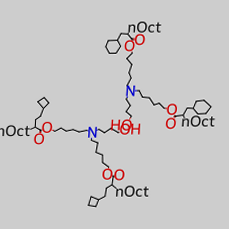 CCCCCCCCC(CC1CCCCC1)C(=O)OCCCCCCN(CCCCO)CCCCCCOC(=O)C(CCCCCCCC)CC1CCCCC1.CCCCCCCCC(CCC1CCC1)C(=O)OCCCCCCN(CCCCO)CCCCCCOC(=O)C(CCCCCCCC)CCC1CCC1